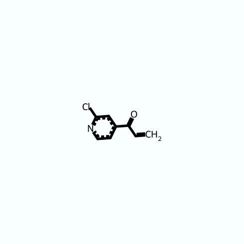 C=CC(=O)c1ccnc(Cl)c1